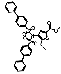 COC(=O)c1cc(N(S(=O)(=O)c2ccc(-c3ccccc3)cc2)S(=O)(=O)c2ccc(-c3ccccc3)cc2)c(SC)s1